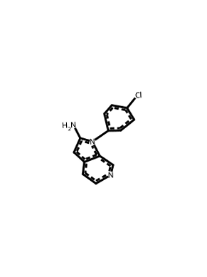 Nc1cc2ccncc2n1-c1ccc(Cl)cc1